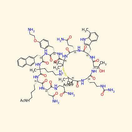 CC(=O)NCCCC[C@H](NC(=O)C(C)(CCCCN)NC(=O)[C@H](Cc1ccc2ccccc2c1)NC(=O)[C@H](Cc1ccc(OCCN)cc1)NC(=O)[C@H]1NC(=O)[C@H](CCC(N)=O)NC(=O)[C@H](Cc2c[nH]c3c(C)cccc23)NC(=O)[C@H]([C@@H](C)O)NC(=O)[C@H](CCCNC(N)=O)NC(=O)[C@@H](NC(C)=O)C(C)(C)SSC1(C)C)C(=O)N[C@@H](CC(N)=O)C(=O)NCCC(N)=O